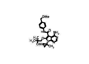 COCc1ccc(NC(=O)c2c(OCC(C)(C)OC)n(C3(C)CC3)c3ncnc(N)c23)cc1